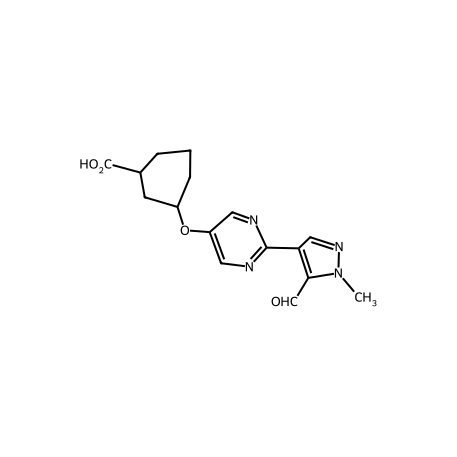 Cn1ncc(-c2ncc(OC3CCCC(C(=O)O)C3)cn2)c1C=O